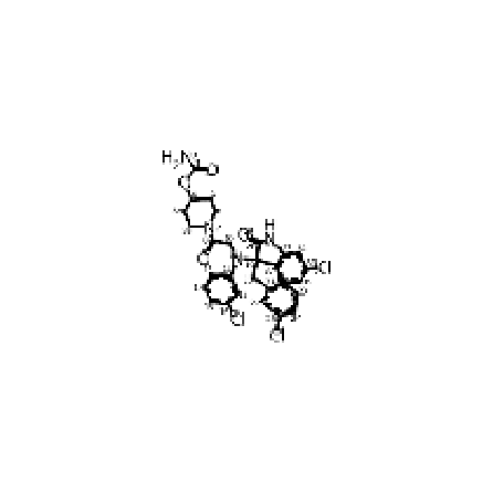 NC(=O)OC1CCN(C(=O)CN(c2cccc(Cl)c2)C2(Cc3cccc(Cl)c3)C(=O)Nc3cc(Cl)ccc32)CC1